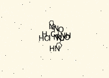 Cc1nn2c(C3CCNCC3)cc(=O)[nH]c2c1C(=O)N1CCN2CCCC2C1.Cl